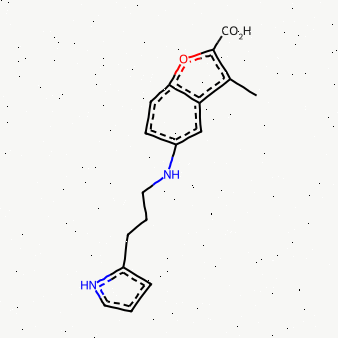 Cc1c(C(=O)O)oc2ccc(NCCCc3ccc[nH]3)cc12